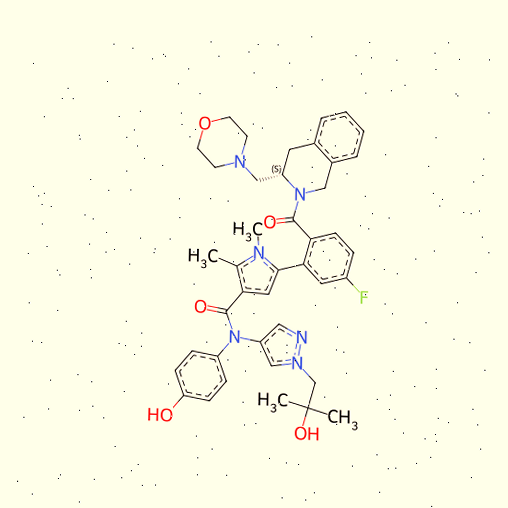 Cc1c(C(=O)N(c2ccc(O)cc2)c2cnn(CC(C)(C)O)c2)cc(-c2cc(F)ccc2C(=O)N2Cc3ccccc3C[C@H]2CN2CCOCC2)n1C